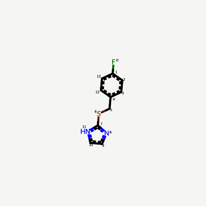 Fc1ccc(CSc2ncc[nH]2)cc1